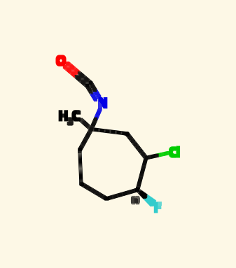 CC1(N=C=O)CCC[C@H](F)C(Cl)C1